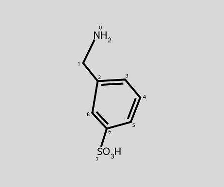 NCc1cccc(S(=O)(=O)O)c1